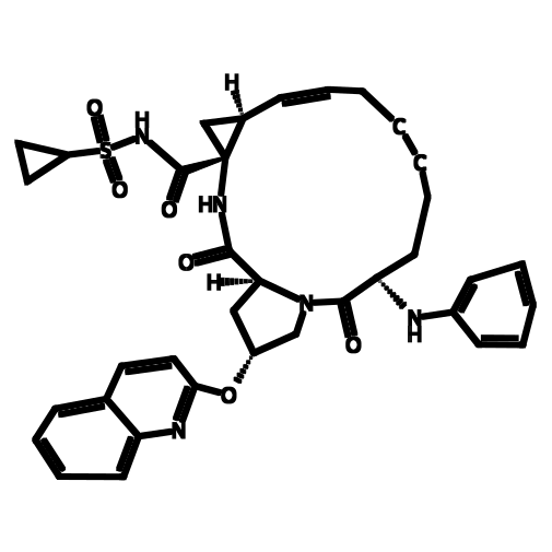 O=C1N[C@]2(C(=O)NS(=O)(=O)C3CC3)C[C@H]2/C=C\CCCCC[C@H](Nc2ccccc2)C(=O)N2C[C@H](Oc3ccc4ccccc4n3)C[C@@H]12